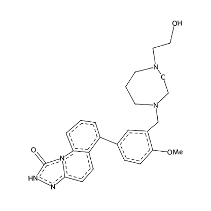 COc1ccc(-c2cccc3c2ccc2n[nH]c(=O)n23)cc1CN1CCCN(CCO)CC1